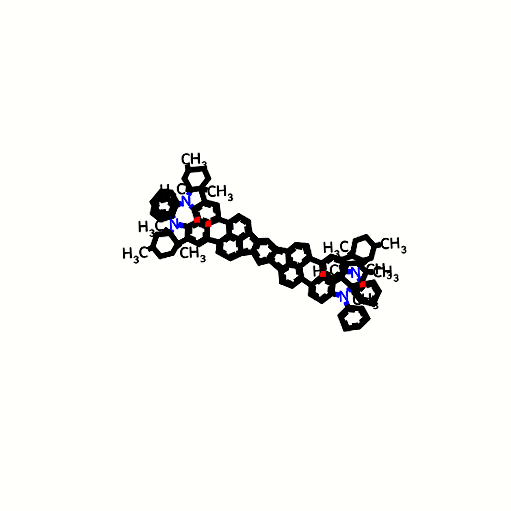 CC1CCC2(C)c3cc(-c4ccc5c6cc7c(cc6c6ccc(-c8ccc9c(c8)C8(C)CCC(C)CC8(C)N9c8ccccc8)c4c56)c4ccc(-c5ccc6c(c5)C5(C)CCC(C)CC5(C)N6c5ccccc5)c5c(-c6ccc8c(c6)C6(C)CCC(C)CC6(C)N8c6ccccc6)ccc7c54)ccc3N(c3ccccc3)C2(C)C1